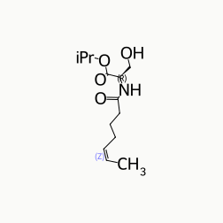 C/C=C\CCCC(=O)N[C@H](CO)C(=O)OC(C)C